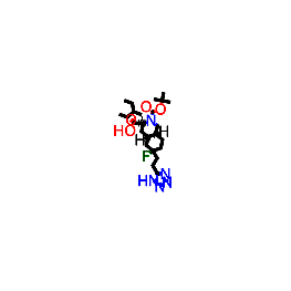 CCC(CC)C[C@@]1(C(=O)O)C[C@H]2CC(F)(CCc3nnn[nH]3)CC[C@H]2CN1C(=O)OC(C)(C)C